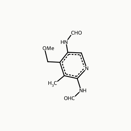 COCc1c(NC=O)cnc(NC=O)c1C